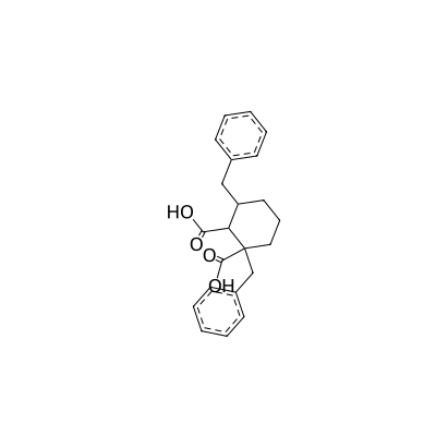 O=C(O)C1C(Cc2ccccc2)CCCC1(Cc1ccccc1)C(=O)O